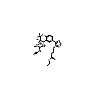 CCOC(=O)CCCn1nnnc1-c1ccc2c(c1)[C@@H](NC(=NC#N)SC)[C@](C)(O)C(C)(C)O2